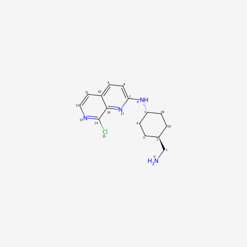 NC[C@H]1CC[C@H](Nc2ccc3ccnc(Cl)c3n2)CC1